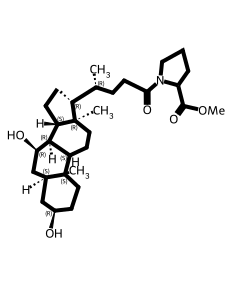 COC(=O)C1CCCN1C(=O)CC[C@@H](C)[C@H]1CC[C@H]2[C@@H]3[C@H](O)C[C@@H]4C[C@H](O)CC[C@]4(C)[C@H]3CC[C@]12C